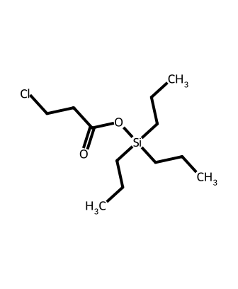 CCC[Si](CCC)(CCC)OC(=O)CCCl